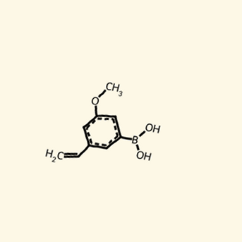 C=Cc1cc(OC)cc(B(O)O)c1